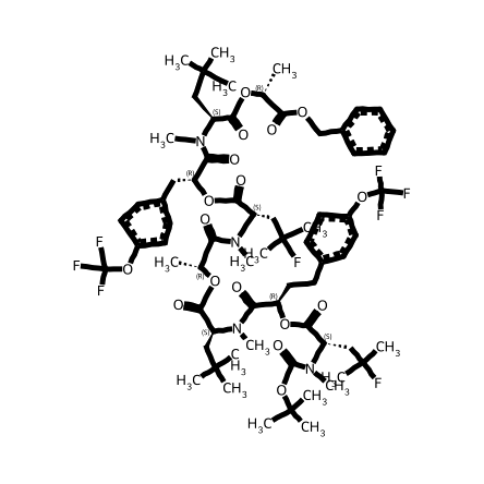 C[C@@H](OC(=O)[C@H](CC(C)(C)C)N(C)C(=O)[C@@H](Cc1ccc(OC(F)(F)F)cc1)OC(=O)[C@H](CC(C)(C)F)N(C)C(=O)[C@@H](C)OC(=O)[C@H](CC(C)(C)C)N(C)C(=O)[C@@H](CCc1ccc(OC(F)(F)F)cc1)OC(=O)[C@H](CC(C)(C)F)N(C)C(=O)OC(C)(C)C)C(=O)OCc1ccccc1